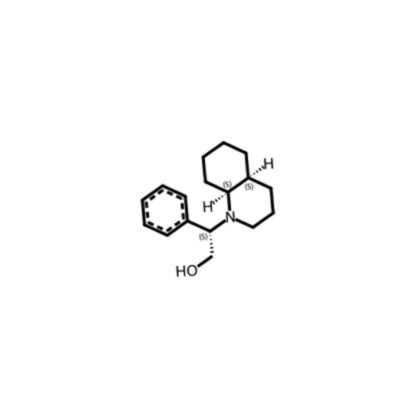 OC[C@H](c1ccccc1)N1CCC[C@@H]2CCCC[C@@H]21